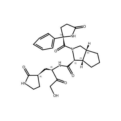 O=C1CC[C@@](C(=O)N2C[C@@H]3CCC[C@@H]3[C@H]2C(=O)N[C@H](C[C@H]2CCNC2=O)C(=O)CO)(c2ccccc2)N1